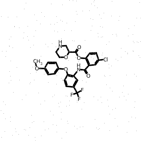 COc1ccc(Oc2ccc(C(F)(F)F)cc2NC(=O)c2cc(Cl)ccc2OC(=O)C2CNCCO2)cc1